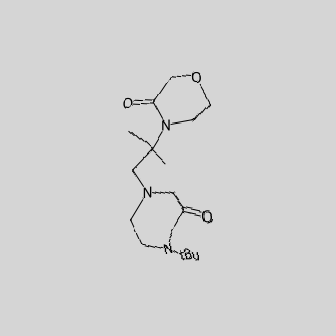 CC(C)(C)N1CCN(CC(C)(C)N2CCOCC2=O)CC1=O